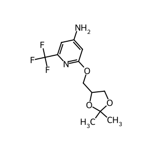 CC1(C)OCC(COc2cc(N)cc(C(F)(F)F)n2)O1